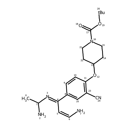 CC(N)/N=C(\C=C/N)c1ccc(OC2CCN(C(=O)OC(C)(C)C)CC2)c(C#N)c1